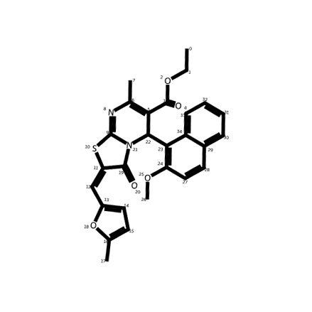 CCOC(=O)C1=C(C)N=c2s/c(=C/c3ccc(C)o3)c(=O)n2C1c1c(OC)ccc2ccccc12